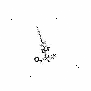 C#C[C@]1(COC(=O)c2ccccc2)O[C@@H](n2cnc3c(NC(=O)CCCCCCCCC)nc(F)nc32)C[C@@H]1O[Si](C)(C)C(C)(C)C